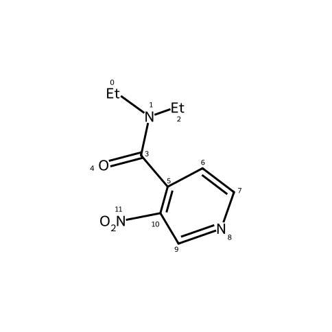 CCN(CC)C(=O)c1ccncc1[N+](=O)[O-]